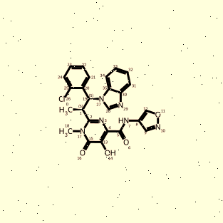 C[C@H](c1nc(C(=O)Nc2cnoc2)c(O)c(=O)n1C)[C@@H](c1ccccc1Cl)n1cnc2ccccc21